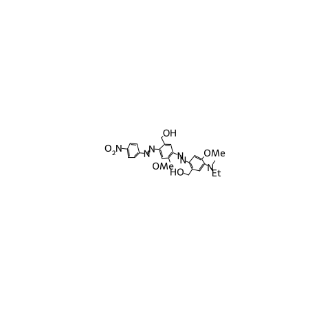 CCN(C)c1cc(CO)c(N=Nc2cc(CO)c(N=Nc3ccc([N+](=O)[O-])cc3)cc2OC)cc1OC